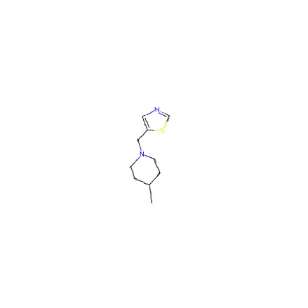 CC1CCN(Cc2cncs2)CC1